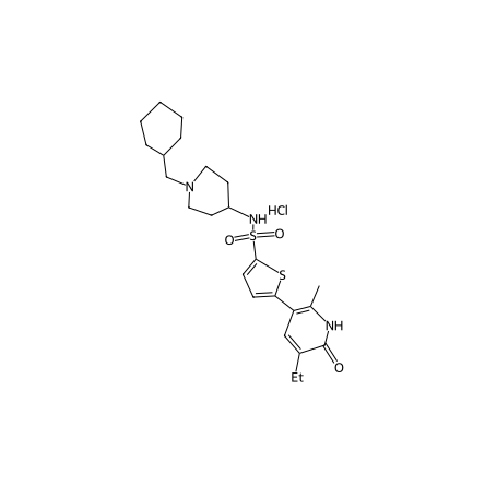 CCc1cc(-c2ccc(S(=O)(=O)NC3CCN(CC4CCCCC4)CC3)s2)c(C)[nH]c1=O.Cl